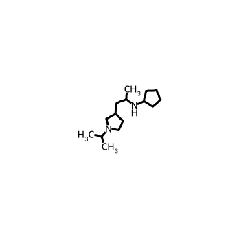 CC(CC1CCN(C(C)C)C1)NC1CCCC1